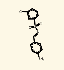 Bc1ccc(/C=N/S(=O)(=O)c2cccc(Cl)c2)cc1